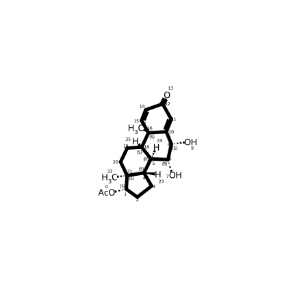 CC(=O)O[C@H]1CC[C@H]2[C@@H]3[C@@H](O)[C@@H](O)C4=CC(=O)C=C[C@]4(C)[C@H]3CC[C@]12C